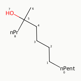 CCCCCCCCCC(C)(O)CCC